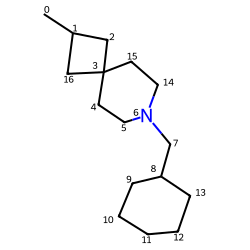 CC1CC2(CCN(CC3CCCCC3)CC2)C1